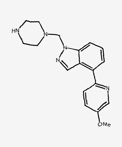 COc1ccc(-c2cccc3c2cnn3CN2CCNCC2)nc1